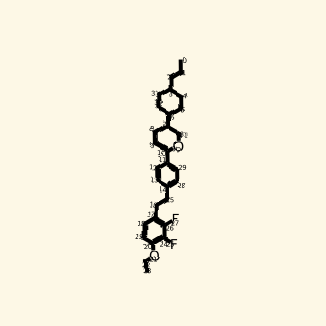 CCCC1CCC(C2CC=C(c3ccc(CCc4ccc(OCC)c(F)c4F)cc3)OC2)CC1